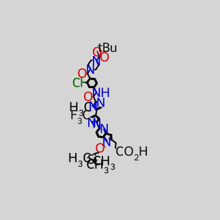 Cn1c(-c2cn(-c3ccc4c(cc(CCC(=O)O)n4COCC[Si](C)(C)C)n3)nc2C(F)(F)F)cnc1C(=O)Nc1ccc(C(=O)N2CCN(C(=O)OC(C)(C)C)CC2)c(Cl)c1